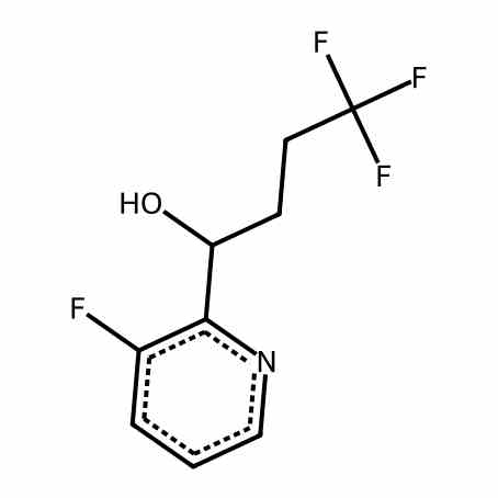 OC(CCC(F)(F)F)c1ncccc1F